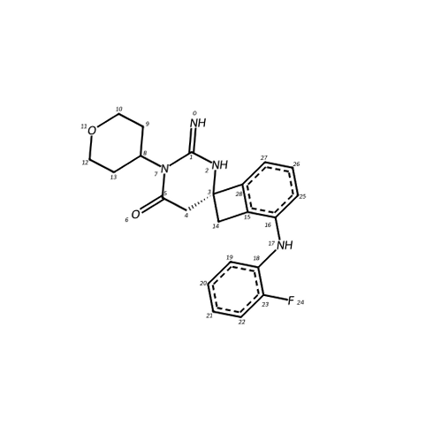 N=C1N[C@]2(CC(=O)N1C1CCOCC1)Cc1c(Nc3ccccc3F)cccc12